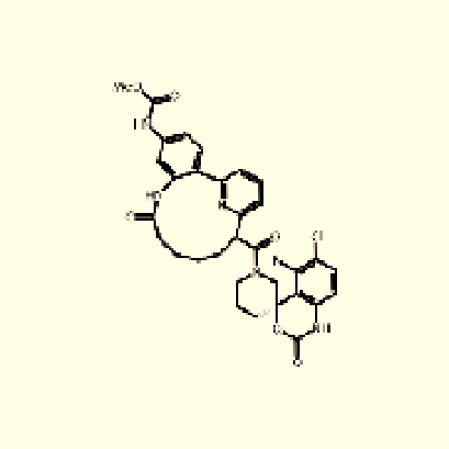 COC(=O)Nc1ccc2c(c1)NC(=O)CCCCC(C(=O)N1CCC[C@@]3(C1)OC(=O)Nc1ccc(Cl)c(F)c13)c1cccc-2n1